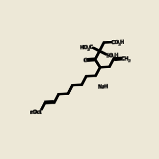 C=CCC(CCCCCCC=CCCCCCCCC)C(=O)C(CC(=O)O)(C(=O)O)S(=O)(=O)O.[NaH]